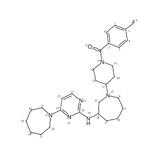 O=C(c1ccc(F)cc1)N1CCC(N2CCCCC(Nc3nccc(N4CCCCCC4)n3)C2)CC1